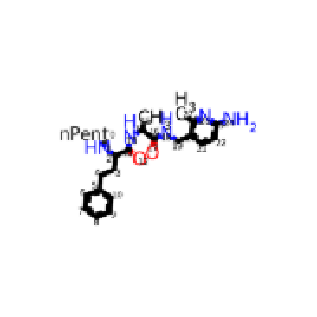 CCCCCNC(CCc1ccccc1)C(=O)NC(C)C(=O)NCc1ccc(N)nc1C